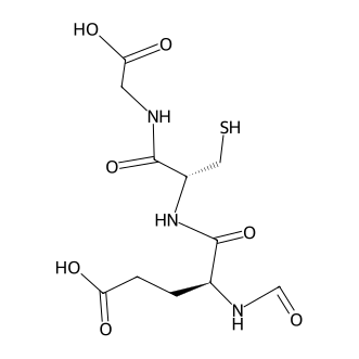 O=CN[C@@H](CCC(=O)O)C(=O)N[C@@H](CS)C(=O)NCC(=O)O